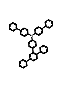 c1ccc(-c2ccc(N(c3ccc(-c4ccccc4)cc3)c3ccc(-c4cc(-c5ccccc5)ccc4-c4ccccc4)cc3)cc2)cc1